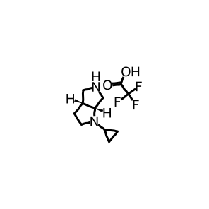 C1CC1N1CC[C@@H]2CNC[C@@H]21.O=C(O)C(F)(F)F